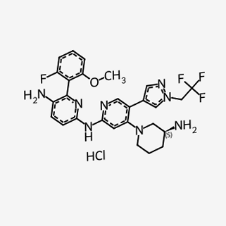 COc1cccc(F)c1-c1nc(Nc2cc(N3CCC[C@H](N)C3)c(-c3cnn(CC(F)(F)F)c3)cn2)ccc1N.Cl